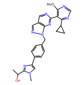 COc1ncnc(C2CC2)c1-c1ncc2cnn(Cc3ccc(-c4cn(C)c(C(C)O)n4)cc3)c2n1